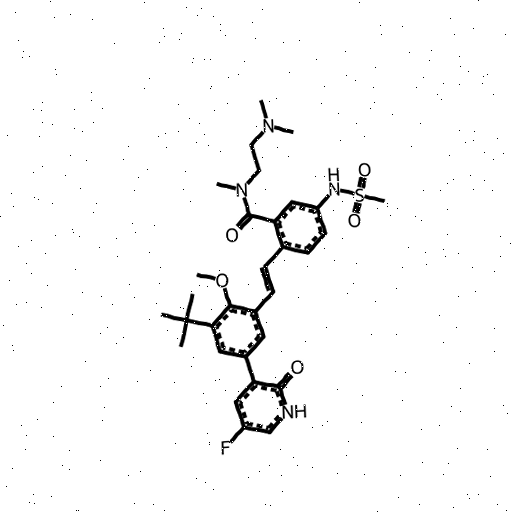 COc1c(/C=C/c2ccc(NS(C)(=O)=O)cc2C(=O)N(C)CCN(C)C)cc(-c2cc(F)c[nH]c2=O)cc1C(C)(C)C